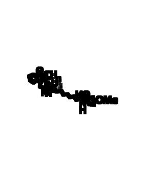 COc1ccc(NC(=O)CCCCCCCSc2nnc(Cc3nn(C)c(=O)c4ccccc34)n2C)c(O)c1